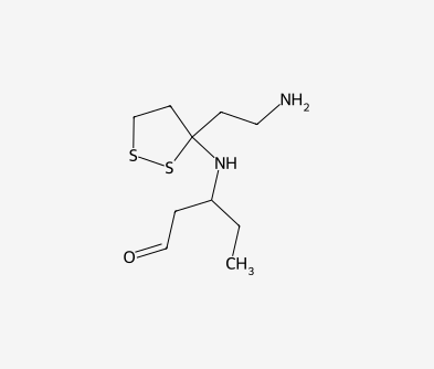 CCC(CC=O)NC1(CCN)CCSS1